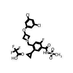 CS(=O)(=O)NC(=O)c1cc(C2CC2)c(CN2CC(Oc3cc(Cl)cc(Cl)c3)C2)cc1F.O=C(O)C(F)(F)F